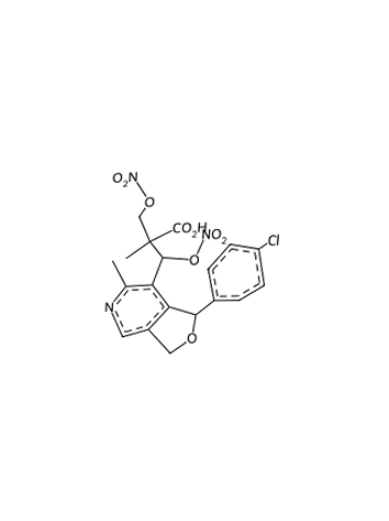 Cc1ncc2c(c1C(O[N+](=O)[O-])C(C)(CO[N+](=O)[O-])C(=O)O)C(c1ccc(Cl)cc1)OC2